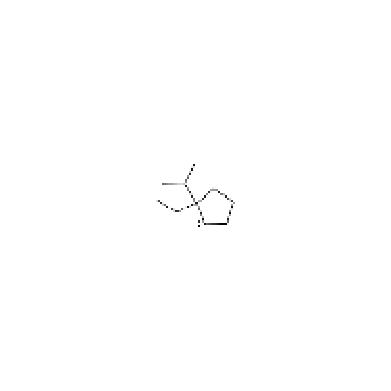 CCC1(C(C)C)[C]CCC1